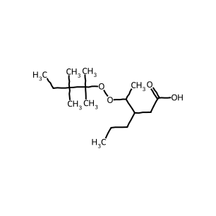 CCCC(CC(=O)O)C(C)OOC(C)(C)C(C)(C)CC